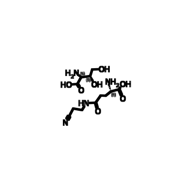 N#CCCNC(=O)CC[C@H](N)C(=O)O.N[C@H](C(=O)O)[C@H](O)CO